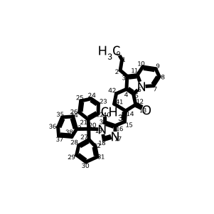 CCCc1c2c(n3ccccc13)C(=O)C(=Cc1ncn(C(c3ccccc3)(c3ccccc3)c3ccccc3)c1C)CC2